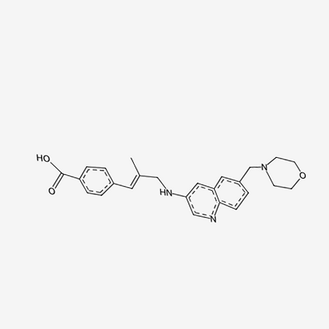 CC(=Cc1ccc(C(=O)O)cc1)CNc1cnc2ccc(CN3CCOCC3)cc2c1